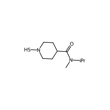 CC(C)N(C)C(=O)C1CCN(S)CC1